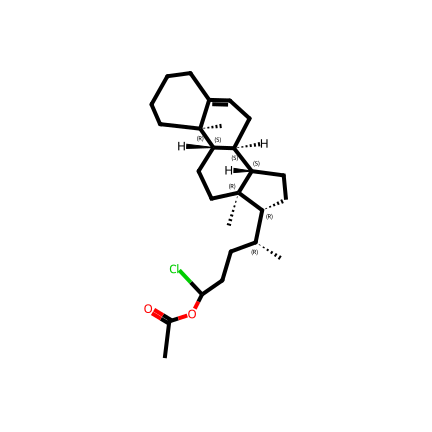 CC(=O)OC(Cl)CC[C@@H](C)[C@H]1CC[C@H]2[C@@H]3CC=C4CCCC[C@]4(C)[C@H]3CC[C@]12C